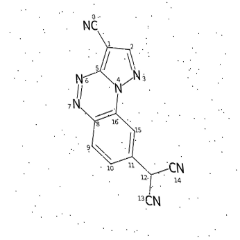 N#Cc1cnn2c1nnc1ccc(C(C#N)C#N)cc12